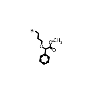 COC(=O)C(OCCCBr)c1ccccc1